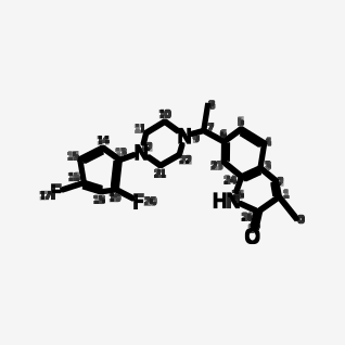 Cc1cc2ccc(C(C)N3CCN(c4ccc(F)cc4F)CC3)cc2[nH]c1=O